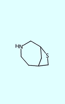 C1CC2CSC(CN1)C2